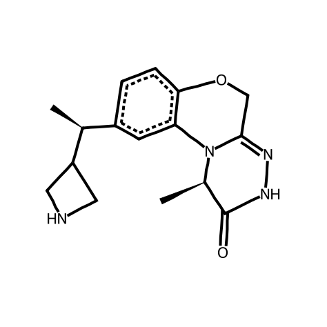 C[C@@H]1C(=O)NN=C2COc3ccc([C@H](C)C4CNC4)cc3N21